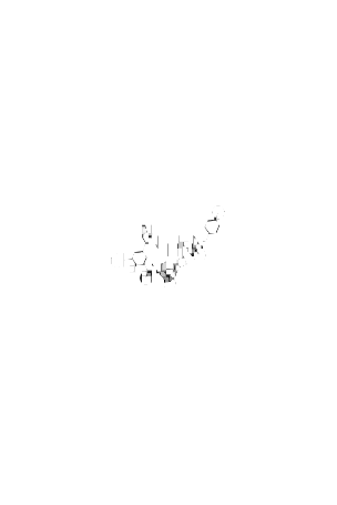 COc1ccc(CNC(=O)N[C@H]2C[C@H](CS(=O)(=O)NNC(=O)c3cc(-c4cn(C)cn4)cc(Cl)c3F)C2)cc1